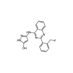 Oc1cc(Nc2nc(-c3ccccc3CF)nc3ccccc23)n[nH]1